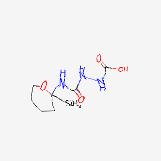 O=C(O)NNC(=O)NC1([SiH3])CCCCO1